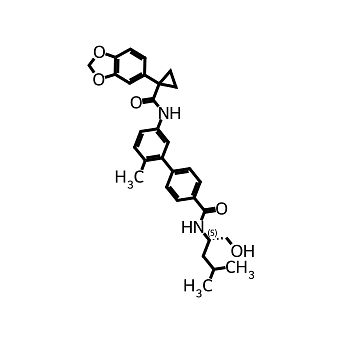 Cc1ccc(NC(=O)C2(c3ccc4c(c3)OCO4)CC2)cc1-c1ccc(C(=O)N[C@H](CO)CC(C)C)cc1